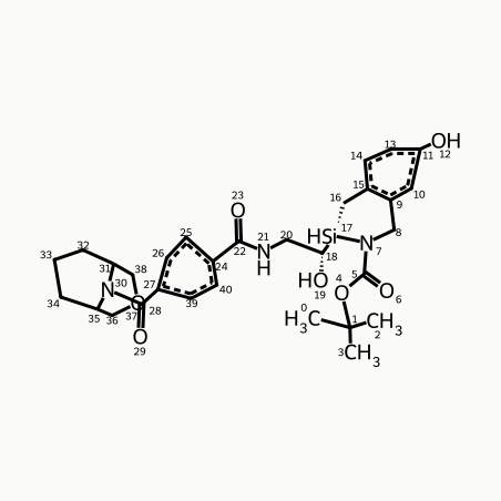 CC(C)(C)OC(=O)N1Cc2cc(O)ccc2C[Si@H]1[C@H](O)CNC(=O)c1ccc(C(=O)N2C3CCCC2COC3)cc1